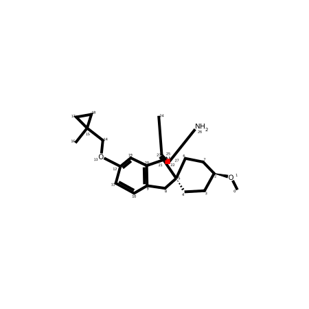 CO[C@H]1CC[C@]2(CC1)Cc1ccc(OCC3(C)CC3)cc1C21N=C(C)C(N)=N1